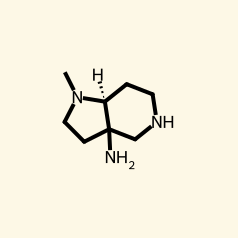 CN1CCC2(N)CNCC[C@H]12